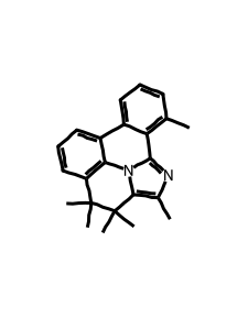 Cc1nc2c3c(C)cccc3c3cccc4c3n2c1C(C)(C)C4(C)C